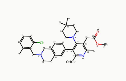 Cc1cccc(Cl)c1CN1CCc2cc(-c3c(C=O)nc(C)c(CC(=O)OC(C)C)c3N3CCC(C)(C)CC3)ccc2C1